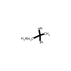 [AlH3].[CH2]C(C)C(C)(C)CCC